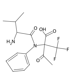 CC(=O)C(C(=O)O)(N(C(=O)C(N)C(C)C)c1ccccc1)C(F)(F)F